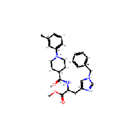 COC(=O)C(Cc1cn(Cc2ccccc2)cn1)NC(=O)C1CCN(c2cccc(C)c2)CC1